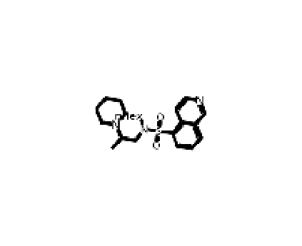 CCCCCCN(CC(C)N1CCCCC1)S(=O)(=O)c1cccc2cnccc12